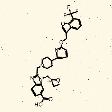 O=C(O)c1ccc2nc(CN3CCC(c4cccc(OCc5coc6c(C(F)(F)F)cccc56)n4)CC3)n(C[C@@H]3CCO3)c2c1